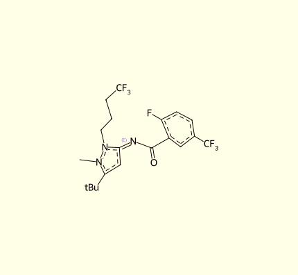 Cn1c(C(C)(C)C)c/c(=N\C(=O)c2cc(C(F)(F)F)ccc2F)n1CCCC(F)(F)F